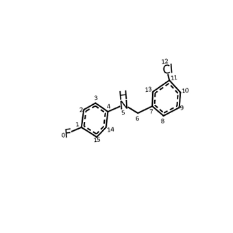 Fc1ccc(NCc2cccc(Cl)c2)cc1